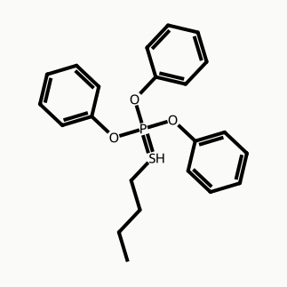 CCCC[SH]=P(Oc1ccccc1)(Oc1ccccc1)Oc1ccccc1